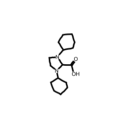 O=C(O)C1N(C2CCCCC2)CCN1C1CCCCC1